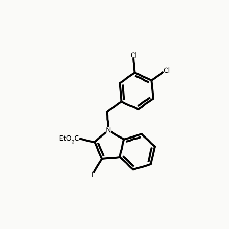 CCOC(=O)c1c(I)c2ccccc2n1Cc1ccc(Cl)c(Cl)c1